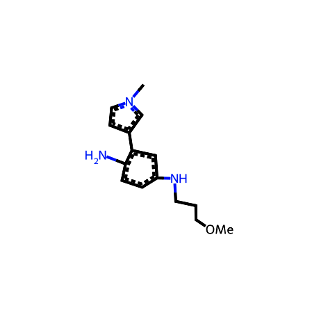 COCCCNc1ccc(N)c(-c2ccn(C)c2)c1